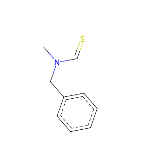 CN(C=S)Cc1ccccc1